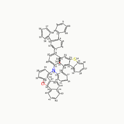 c1ccc(-c2ccc(-c3ccc(N(c4ccccc4-c4cccc5sc6ccccc6c45)c4cccc5oc6c7ccccc7ccc6c45)cc3)cc2-c2ccccc2)cc1